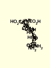 NC(=O)OCC(COP(=O)(O)OCCNC(=O)CCCCC1(N(CC(=O)O)CC(=O)O)CN(CC(=O)O)CCN(CC(=O)O)C1)OC(N)=O